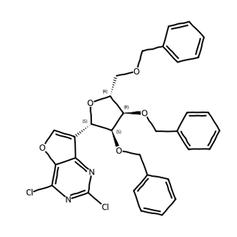 Clc1nc(Cl)c2occ([C@@H]3O[C@H](COCc4ccccc4)[C@@H](OCc4ccccc4)[C@H]3OCc3ccccc3)c2n1